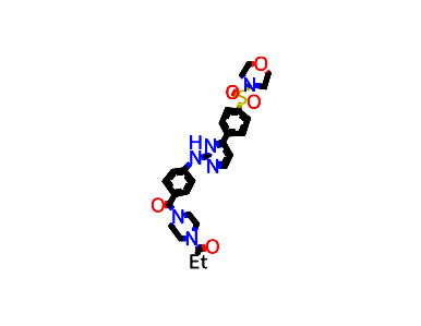 CCC(=O)N1CCN(C(=O)c2ccc(Nc3nccc(-c4ccc(S(=O)(=O)N5CCOCC5)cc4)n3)cc2)CC1